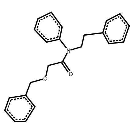 O=C(COCc1ccccc1)N(CCc1ccccc1)c1ccccc1